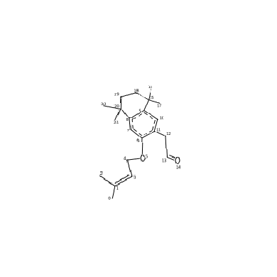 CC(C)=CCOc1cc2c(cc1CC=O)C(C)(C)CCC2(C)C